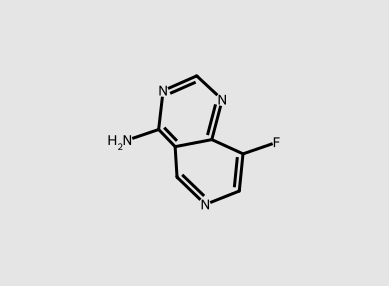 Nc1ncnc2c(F)cncc12